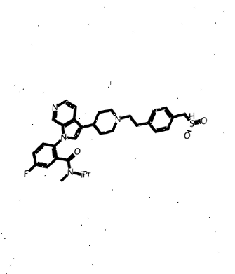 CC(C)N(C)C(=O)c1cc(F)ccc1-n1cc(C2CCN(CCc3ccc(C[SH](=O)=O)cc3)CC2)c2ccncc21